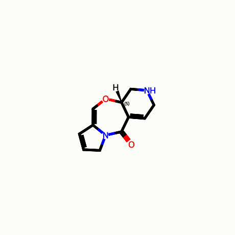 O=C1C2=CCNC[C@H]2OC=C2C=CCN12